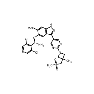 COc1cc2[nH]nc(-c3cnc(N4CC(C)(CS(C)(=O)=O)C4)nc3)c2cc1O[C@H](N)c1c(Cl)cncc1Cl